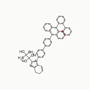 BC(B)(O)C(O)(O)c1nc2c(n1-c1ccc(-c3ccc(-c4c5ccccc5c(-c5ccccc5-c5ccccn5)c5ccccc45)cc3)cc1)C=CCC2